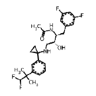 CC(=O)N[C@@H](Cc1cc(F)cc(F)c1)[C@H](O)CNC1(c2cccc(C(C)(C)C(F)F)c2)CC1